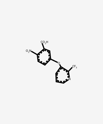 O=C(O)c1cc(Oc2cccnc2C(F)(F)F)ccc1[N+](=O)[O-]